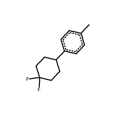 Cc1ccc(C2CCC(F)(F)CC2)cc1